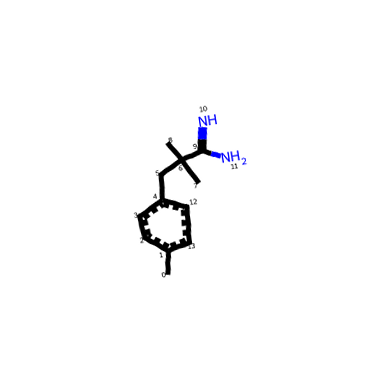 Cc1ccc(CC(C)(C)C(=N)N)cc1